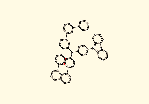 c1ccc(-c2cccc(-c3cccc(N(c4ccc(-c5cccc6cccc(-c7ccccc7)c56)cc4)c4ccc(-n5c6ccccc6c6ccccc65)cc4)c3)c2)cc1